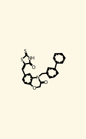 O=C1NC(=S)SC1=Cc1ccc2c(c1)N(Cc1cccc(-c3ccccc3)c1)C(=O)CO2